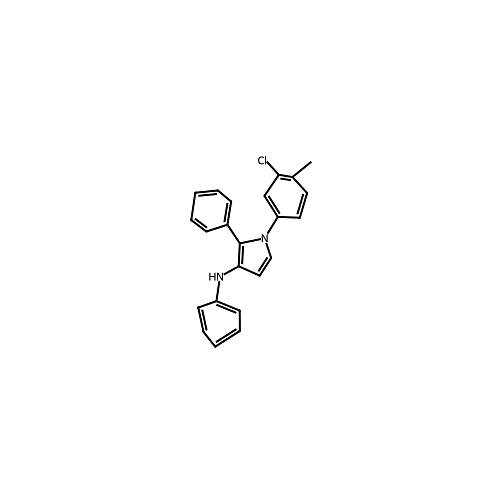 Cc1ccc(-n2ccc(Nc3ccccc3)c2-c2ccccc2)cc1Cl